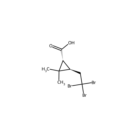 CC1(C)[C@H](CC(Br)(Br)Br)[C@H]1C(=O)O